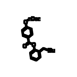 CCCCCCCCCCOc1ccc(C(=O)Oc2ccccc2CC(C)CC)cc1